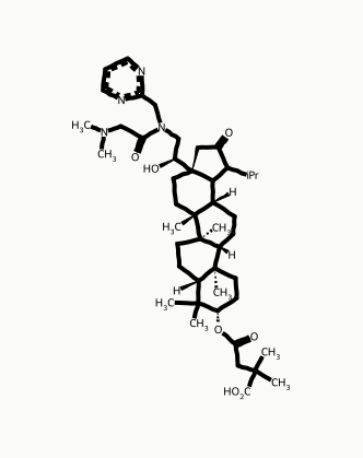 CC(C)C1C(=O)C[C@]2([C@@H](O)CN(Cc3ncccn3)C(=O)CN(C)C)CC[C@]3(C)[C@@H](CC[C@@H]4[C@@]5(C)CC[C@H](OC(=O)CC(C)(C)C(=O)O)C(C)(C)[C@@H]5CC[C@]43C)C12